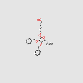 COCC1OC(OCCCCCO)C(OCc2ccccc2)C1OCc1ccccc1